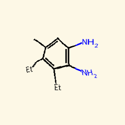 CCc1c(C)cc(N)c(N)c1CC